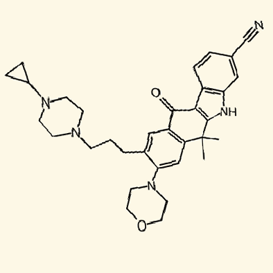 CC1(C)c2cc(N3CCOCC3)c(CCCN3CCN(C4CC4)CC3)cc2C(=O)c2c1[nH]c1cc(C#N)ccc21